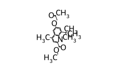 CCOC(=O)c1cc(C)c2cc(OCC(C)=O)cc(C(C)(C)C)c2n1